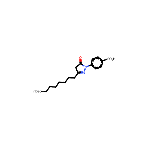 CCCCCCCCCCCCCCCCCC1=NN(c2ccc(S(=O)(=O)O)cc2)C(=O)C1